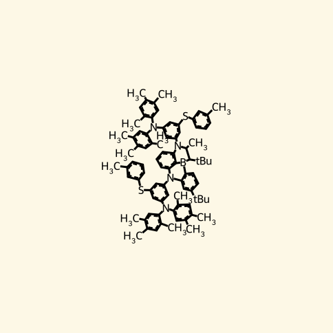 Cc1cccc(Sc2cc(N(c3cc(C)c(C)cc3C)c3cc(C)c(C)cc3C)cc(N3c4cc(C(C)(C)C)ccc4B4c5c3cccc5N(c3cc(Sc5cccc(C)c5)cc(N(c5cc(C)c(C)cc5C)c5cc(C)c(C)cc5C)c3)C(C)C4C(C)(C)C)c2)c1